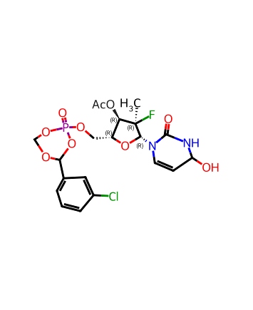 CC(=O)O[C@@H]1[C@@H](COP2(=O)OCOC(c3cccc(Cl)c3)O2)O[C@@H](N2C=CC(O)NC2=O)[C@]1(C)F